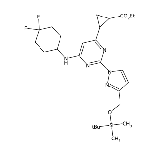 CCOC(=O)C1CC1c1cc(NC2CCC(F)(F)CC2)nc(-n2ccc(CO[Si](C)(C)C(C)(C)C)n2)n1